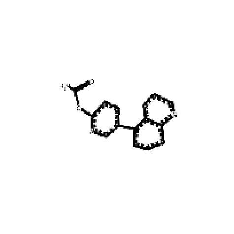 NC(=O)Oc1ccc(-c2cccc3ncccc23)cn1